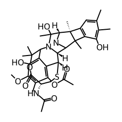 COc1c(C)c(OC(C)=O)c2c(c1O)C1N3[C@H](C4N(C)[C@H](C3(C)O)[C@@]3(C)c5cc(C)c(C)c(O)c5C43C)[C@@H]2SC[C@H](NC(C)=O)C(=O)OC1(C)C